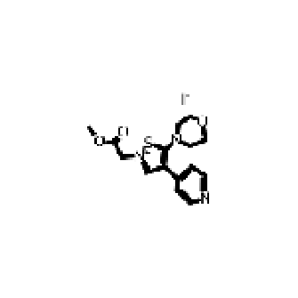 COC(=O)C[n+]1cc(-c2ccncc2)c(N2CCOCC2)s1.[I-]